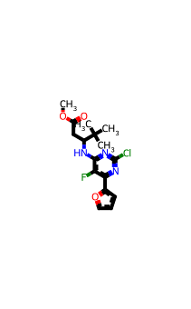 COC(=O)CC(Nc1nc(Cl)nc(-c2ccco2)c1F)C(C)(C)C